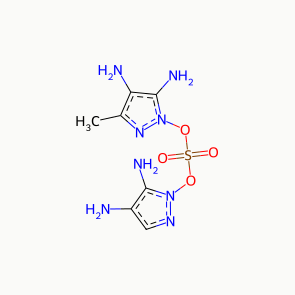 Cc1nn(OS(=O)(=O)On2ncc(N)c2N)c(N)c1N